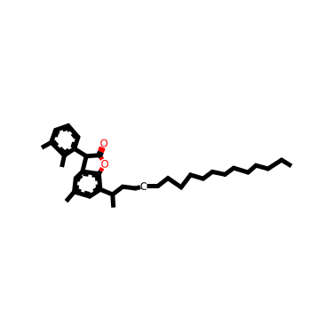 CCCCCCCCCCCCCCCCC(C)c1cc(C)cc2c1OC(=O)C2c1cccc(C)c1C